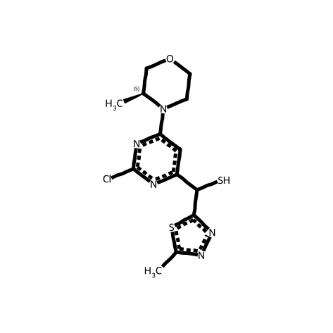 Cc1nnc(C(S)c2cc(N3CCOC[C@@H]3C)nc(Cl)n2)s1